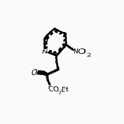 CCOC(=O)C(=O)Cc1ncccc1[N+](=O)[O-]